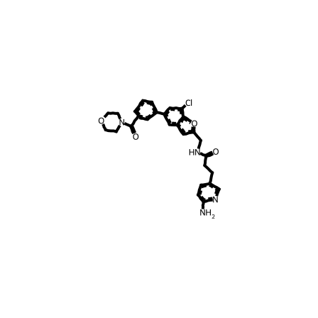 Nc1ccc(CCC(=O)NCc2cc3cc(-c4cccc(C(=O)N5CCOCC5)c4)cc(Cl)c3o2)cn1